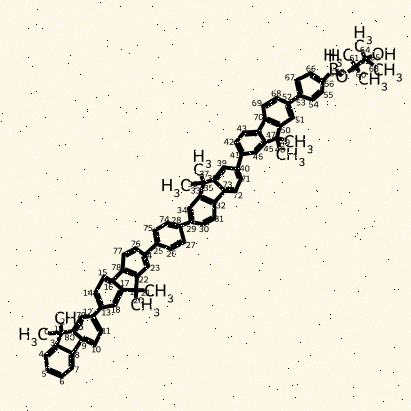 CC1(C)c2ccccc2-c2ccc(-c3ccc4c(c3)C(C)(C)c3cc(-c5ccc(-c6ccc7c(c6)C(C)(C)c6cc(-c8ccc9c(c8)C(C)(C)c8cc(-c%10ccc(BOC(C)(C)C(C)(C)O)cc%10)ccc8-9)ccc6-7)cc5)ccc3-4)cc21